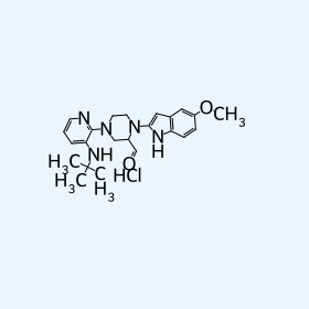 COc1ccc2[nH]c(N3CCN(c4ncccc4NC(C)(C)C)CC3C=O)cc2c1.Cl